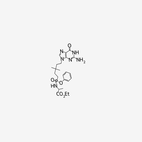 CCOC(=O)C(C)NP(=O)(CCC(C)(C)CCn1cnc2c(=O)[nH]c(N)nc21)Oc1ccccc1